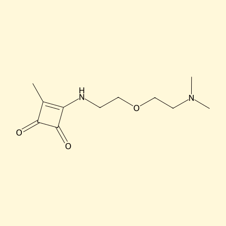 Cc1c(NCCOCCN(C)C)c(=O)c1=O